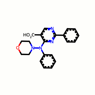 O=C(O)c1cnc(-c2ccccc2)nc1N(c1ccccc1)N1CCOCC1